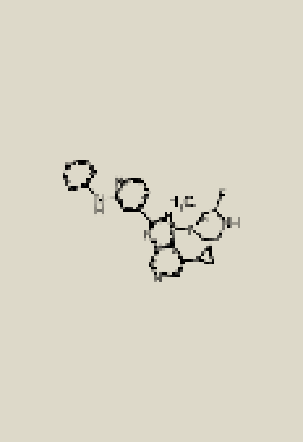 C[C@@H]1C(F)NCCN1c1nc(-c2ccnc(Nc3ccccc3)c2)nc2cncc(C3CC3)c12